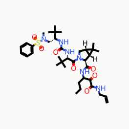 C=CCNC(=O)C(=O)C(CCC)NC(=O)[C@@H]1[C@@H]2[C@H](CN1C(=O)[C@@H](NC(=O)N[C@H](CN(C)S(=O)(=O)c1ccccc1)C(C)(C)C)C(C)(C)C)C2(C)C